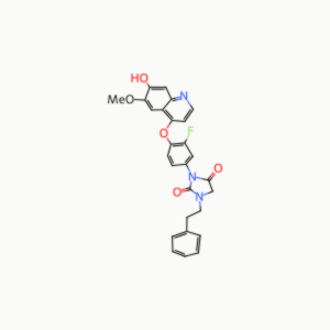 COc1cc2c(Oc3ccc(N4C(=O)CN(CCc5ccccc5)C4=O)cc3F)ccnc2cc1O